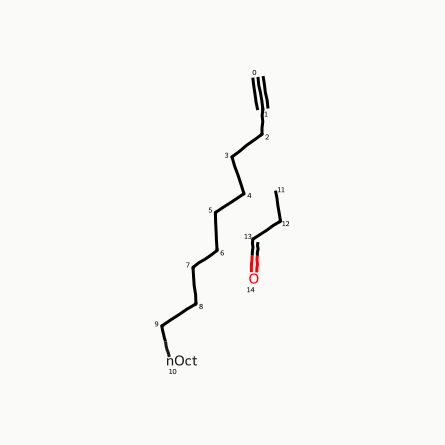 C#CCCCCCCCCCCCCCCCC.CCC=O